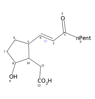 CCCCCC(=O)/C=C/C1CCC(O)C1CC(=O)O